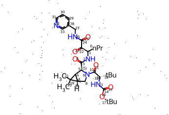 CCCC(NC(=O)[C@@H]1C2[C@H](CN1C(=O)[C@@H](NC(=O)OC(C)(C)C)C(C)(C)C)C2(C)C)C(=O)C(=O)NCc1cccnc1